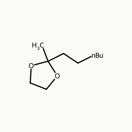 CCCCCCC1(C)OCCO1